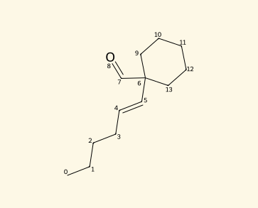 CCCCC=CC1(C=O)CCCCC1